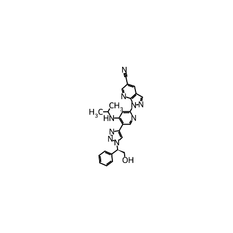 CC(C)Nc1cc(-n2ncc3cc(C#N)cnc32)ncc1-c1cn([C@@H](CO)c2ccccc2)nn1